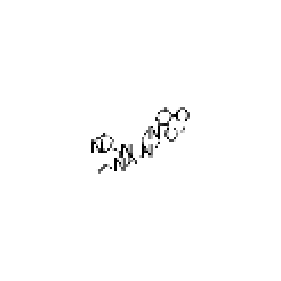 C=CCN1CN(CN2CCN(c3cccc4c3OCCO4)CC2)N=C1c1cccnc1